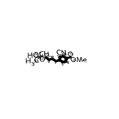 COC(=O)c1ccc(CCCCOC(C)(C)O)cc1C#N